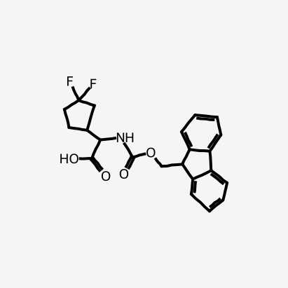 O=C(NC(C(=O)O)C1CCC(F)(F)C1)OCC1c2ccccc2-c2ccccc21